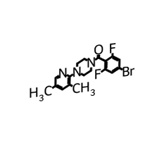 Cc1cnc(N2CCN(C(=O)c3c(F)cc(Br)cc3F)CC2)c(C)c1